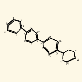 c1ccc(-c2ccc(-c3ccc(C4CCCCC4)cc3)cc2)cc1